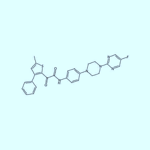 Cc1cc(-c2ccccc2)c(C(=O)C(=O)Nc2ccc(N3CCN(c4ncc(F)cn4)CC3)cc2)s1